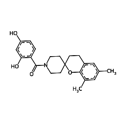 Cc1cc(C)c2c(c1)CCC1(CCN(C(=O)c3ccc(O)cc3O)CC1)O2